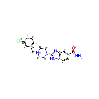 NC(=O)c1ccc2[nH]c(N3CCN(Cc4cccc(Cl)c4)CC3)nc2c1